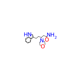 NC(=O)CC(CCc1c[nH]c2ccccc12)N1CCOCC1